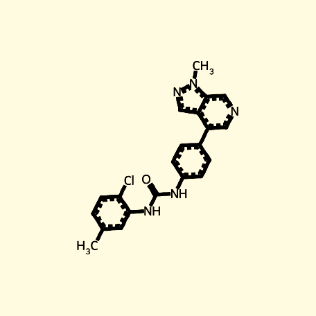 Cc1ccc(Cl)c(NC(=O)Nc2ccc(-c3cncc4c3cnn4C)cc2)c1